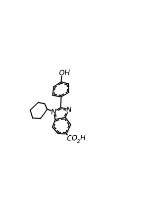 O=C(O)c1ccc2c(c1)nc(-c1ccc(O)cc1)n2C1CCCCC1